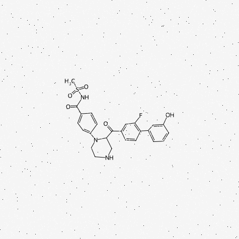 CS(=O)(=O)NC(=O)c1ccc(N2CCNCC2C(=O)c2ccc(-c3cccc(O)c3)c(F)c2)cc1